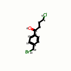 O=C(CCCCl)c1ccc(CBr)cc1